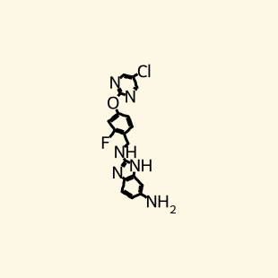 Nc1ccc2nc(NCc3ccc(Oc4ncc(Cl)cn4)cc3F)[nH]c2c1